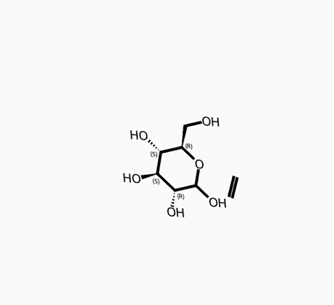 C=C.OC[C@H]1OC(O)[C@H](O)[C@@H](O)[C@@H]1O